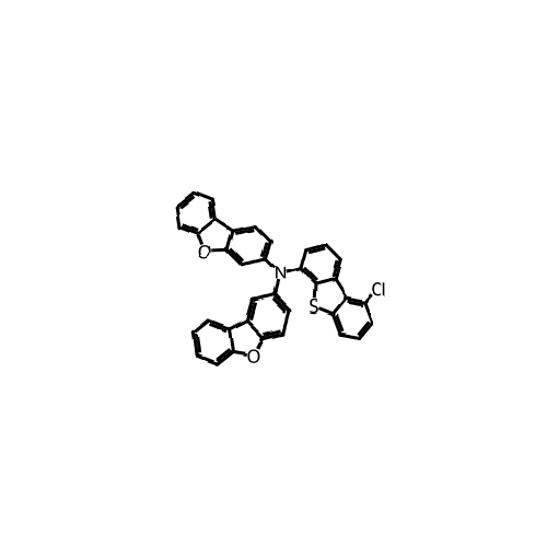 Clc1cccc2sc3c(N(c4ccc5c(c4)oc4ccccc45)c4ccc5oc6ccccc6c5c4)cccc3c12